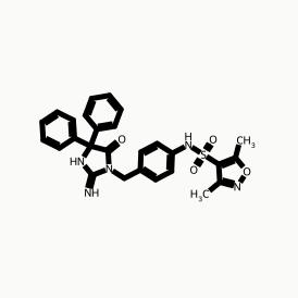 Cc1noc(C)c1S(=O)(=O)Nc1ccc(CN2C(=N)NC(c3ccccc3)(c3ccccc3)C2=O)cc1